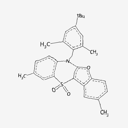 Cc1ccc2c(c1)S(=O)(=O)c1c(oc3ccc(C)cc13)N2c1c(C)cc(C(C)(C)C)cc1C